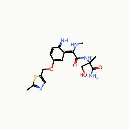 CN/C(C(=O)NC(C)(CO)C(N)=O)=C1/C=C(OCc2cnc(C)s2)C=CC1=N